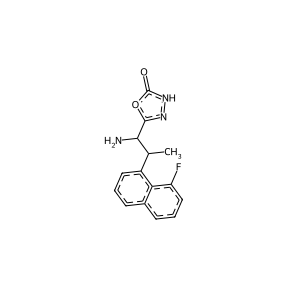 CC(c1cccc2cccc(F)c12)C(N)c1n[nH]c(=O)o1